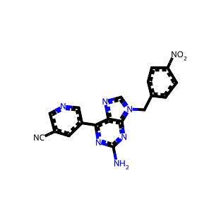 N#Cc1cncc(-c2nc(N)nc3c2ncn3Cc2ccc([N+](=O)[O-])cc2)c1